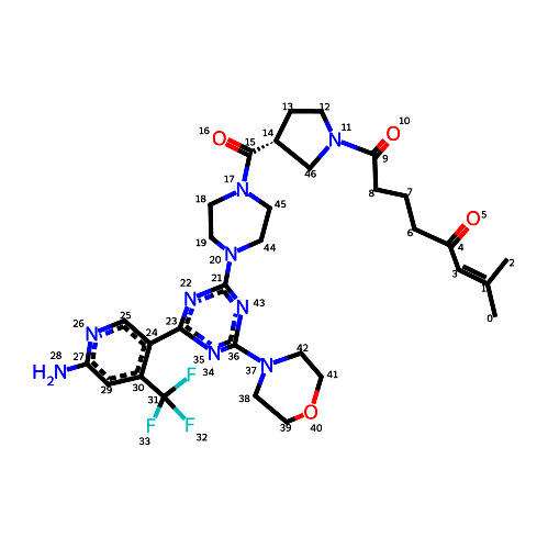 CC(C)=CC(=O)CCCC(=O)N1CC[C@@H](C(=O)N2CCN(c3nc(-c4cnc(N)cc4C(F)(F)F)nc(N4CCOCC4)n3)CC2)C1